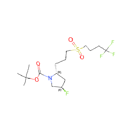 CC(C)(C)OC(=O)N1C[C@H](F)C[C@H]1CCCS(=O)(=O)CCCC(F)(F)F